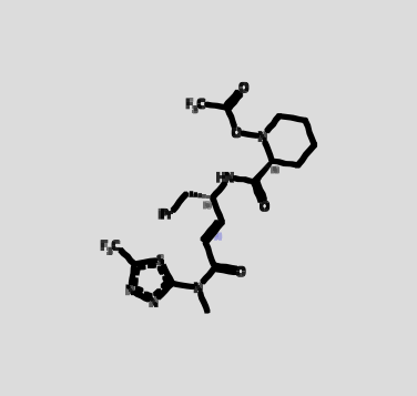 CC(C)C[C@@H](/C=C/C(=O)N(C)c1nnc(C(F)(F)F)s1)NC(=O)[C@@H]1CCCCN1OC(=O)C(F)(F)F